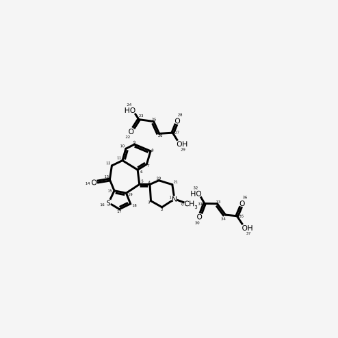 CN1CCC(=C2c3ccccc3CC(=O)c3sccc32)CC1.O=C(O)/C=C/C(=O)O.O=C(O)/C=C/C(=O)O